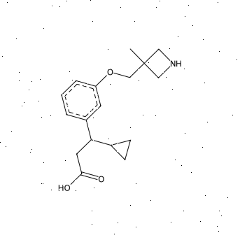 CC1(COc2cccc(C(CC(=O)O)C3CC3)c2)CNC1